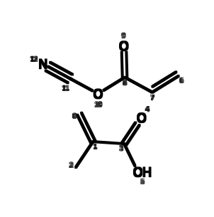 C=C(C)C(=O)O.C=CC(=O)OC#N